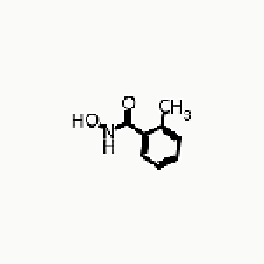 Cc1ccccc1C(=O)NO